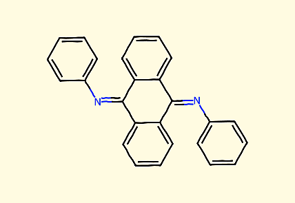 c1ccc(N=C2c3ccccc3C(=Nc3ccccc3)c3ccccc32)cc1